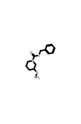 NOC1CCCN(C(=O)OCc2ccccc2)C1